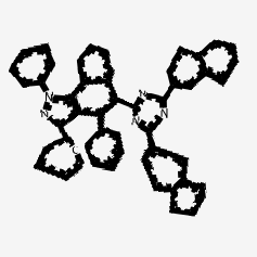 c1ccc(-c2nn(-c3ccccc3)c3c2c(-c2ccccc2)c(-c2nc(-c4ccc5ccccc5c4)nc(-c4ccc5ccccc5c4)n2)c2ccccc23)cc1